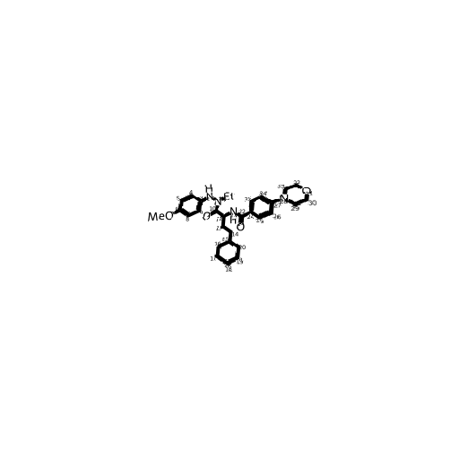 CCN(Nc1ccc(OC)cc1)C(=O)C(CCC1CCCCC1)NC(=O)c1ccc(N2CCOCC2)cc1